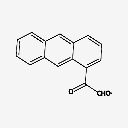 O=[C]C(=O)c1cccc2cc3ccccc3cc12